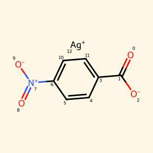 O=C([O-])c1ccc([N+](=O)[O-])cc1.[Ag+]